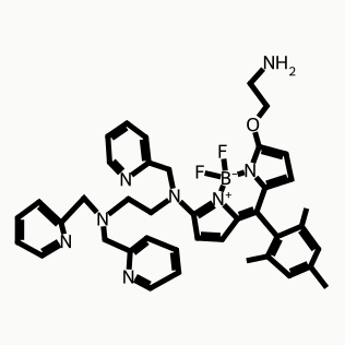 Cc1cc(C)c(C2=C3C=CC(N(CCN(Cc4ccccn4)Cc4ccccn4)Cc4ccccn4)=[N+]3[B-](F)(F)n3c(OCCN)ccc32)c(C)c1